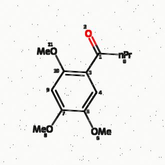 CCCC(=O)c1cc(OC)c(OC)cc1OC